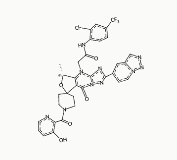 C[C@H]1OC2(CCN(C(=O)c3ncccc3O)CC2)c2c1n(CC(=O)Nc1ccc(C(F)(F)F)cc1Cl)c1nc(-c3ccn4nncc4c3)nn1c2=O